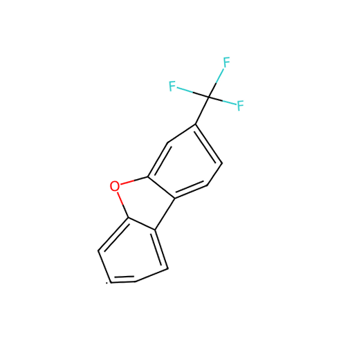 FC(F)(F)c1ccc2c(c1)oc1c[c]ccc12